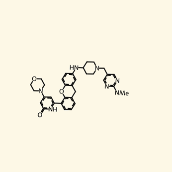 CNc1ncc(CN2CCC(Nc3ccc4c(c3)Cc3cccc(-c5cc(N6CCOCC6)cc(=O)[nH]5)c3O4)CC2)cn1